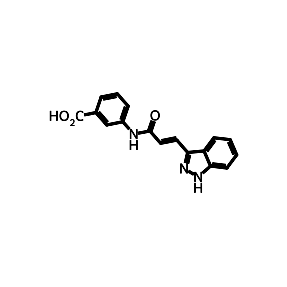 O=C(/C=C/c1n[nH]c2ccccc12)Nc1cccc(C(=O)O)c1